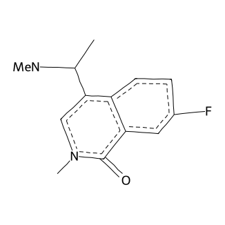 CNC(C)c1cn(C)c(=O)c2cc(F)ccc12